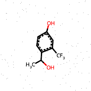 CC(O)c1ccc(O)cc1C(F)(F)F